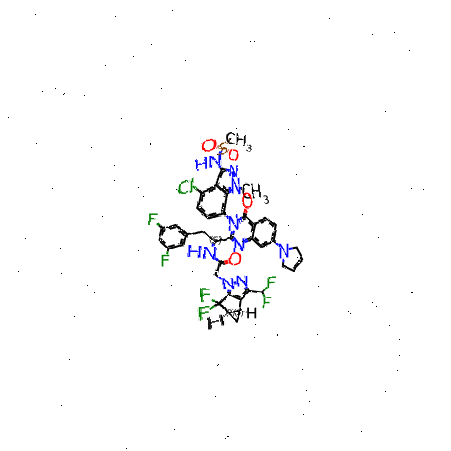 Cn1nc(NS(C)(=O)=O)c2c(Cl)ccc(-n3c([C@H](Cc4cc(F)cc(F)c4)NC(=O)Cn4nc(C(F)F)c5c4C(F)(F)[C@@H]4C[C@H]54)nc4cc(N5CC=CC5)ccc4c3=O)c21